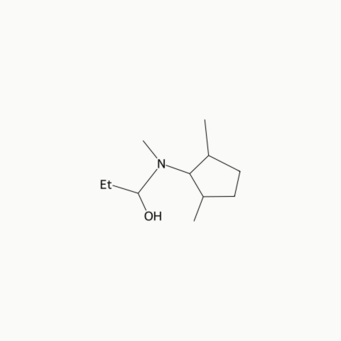 CCC(O)N(C)C1C(C)CCC1C